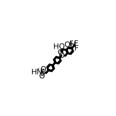 CNS(=O)(=O)Cc1ccc(-c2ccc(OCc3ccc(C(F)(F)F)c(O)c3C(=O)O)cc2)cc1